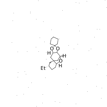 CC[C@H]1CC[C@@H]2O[C@@H]3C[C@@]2(C1)C[C@H]1OC2(CCCCC2)OC31